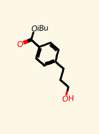 CC(C)COC(=O)c1ccc(CCCO)cc1